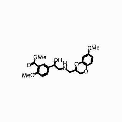 COC(=O)c1cc(C(O)CNCC2COc3ccc(OC)cc3O2)ccc1OC